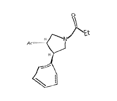 CCC(=O)N1C[C@@H](C(C)=O)[C@H](c2ccccc2)C1